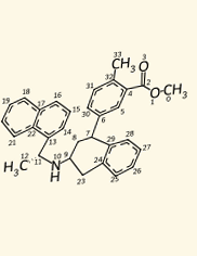 COC(=O)c1cc(C2CC(N[C@H](C)c3cccc4ccccc34)Cc3ccccc32)ccc1C